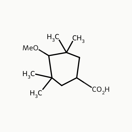 COC1C(C)(C)CC(C(=O)O)CC1(C)C